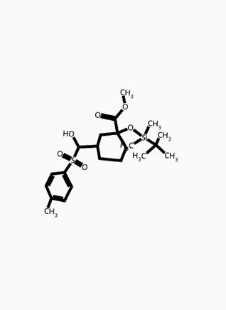 COC(=O)C1(O[Si](C)(C)C(C)(C)C)CCCC(C(O)S(=O)(=O)c2ccc(C)cc2)C1